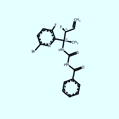 C=C[C@H](F)[C@](C)(NC(=S)NC(=O)c1ccccc1)c1nc(Br)ccc1F